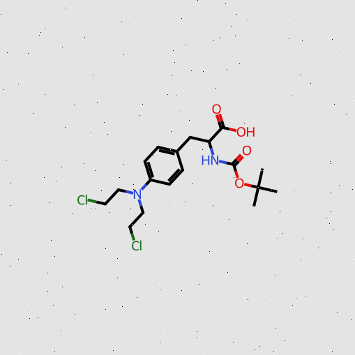 CC(C)(C)OC(=O)NC(Cc1ccc(N(CCCl)CCCl)cc1)C(=O)O